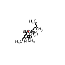 CC/C=C/C=C/C(C)=O.CCCCC(C)CCCC(C)(C)C.Cc1occc1S